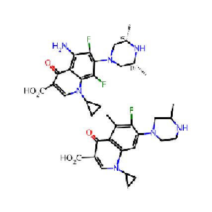 C[C@@H]1CN(c2c(F)c(N)c3c(=O)c(C(=O)O)cn(C4CC4)c3c2F)C[C@H](C)N1.Cc1c(F)c(N2CCNC(C)C2)cc2c1c(=O)c(C(=O)O)cn2C1CC1